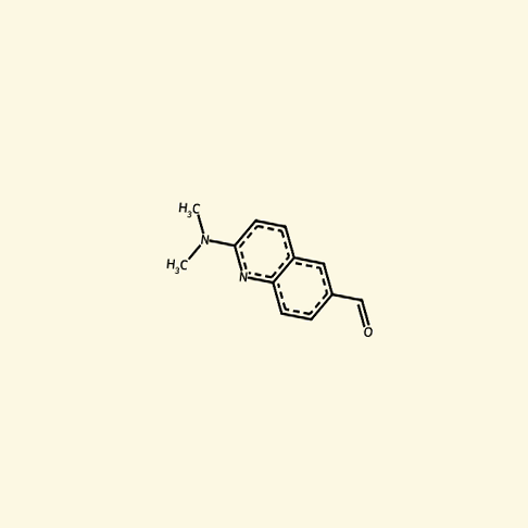 CN(C)c1ccc2cc(C=O)ccc2n1